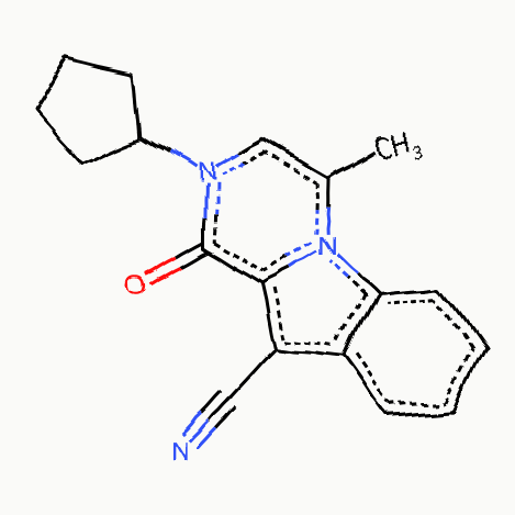 Cc1cn(C2CCCC2)c(=O)c2c(C#N)c3ccccc3n12